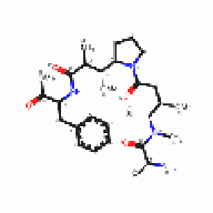 CC[C@H](C)[C@@H]([C@@H](CC(=O)N1CCCC1[C@H](OC)C(C)C(=O)NC(Cc1ccccc1)C(=O)OC)OC)N(C)C(=O)[C@@H](N)C(C)C